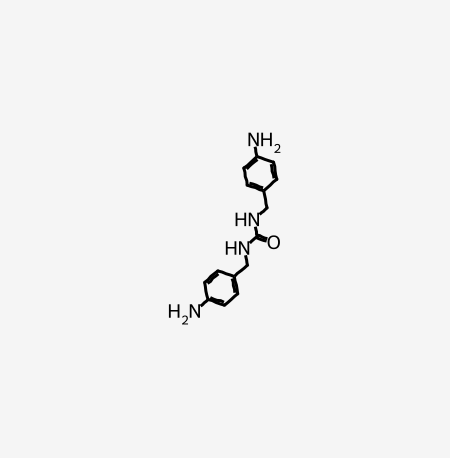 Nc1ccc(CNC(=O)NCc2ccc(N)cc2)cc1